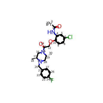 CC(C)C(=O)Nc1cc(Cl)ccc1OCC(=O)N1C[C@H](C)N(Cc2ccc(F)cc2)C[C@H]1C